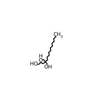 CCCCCCCCCCCCC(CO)(CO)CCCO